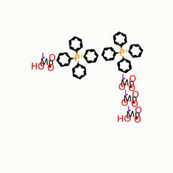 [O]=[Mn](=[O])([O-])[I].[O]=[Mn](=[O])([O-])[I].[O]=[Mn](=[O])([OH])[I].[O]=[Mn](=[O])([OH])[I].c1ccc([P+](c2ccccc2)(c2ccccc2)c2ccccc2)cc1.c1ccc([P+](c2ccccc2)(c2ccccc2)c2ccccc2)cc1